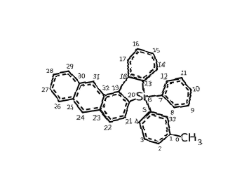 Cc1cccc([Si]2(c3ccccc3)c3ccccc3-c3c2ccc2cc4ccccc4cc32)c1